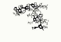 CCOC(=O)C1=NN(c2ccc(Cl)cc2Cl)C(C)(C(=O)OCC)C1.CCc1cc(C)cc(CC)c1-c1c(OC(=O)C(C)(C)C)n2n(c1=O)CCOCC2.Cc1c(C(=O)c2cnn(C)c2O)ccc(S(C)(=O)=O)c1C1=NOCC1.N#Cc1cc(I)c(O)c(I)c1